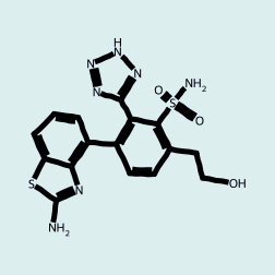 Nc1nc2c(-c3ccc(CCO)c(S(N)(=O)=O)c3-c3nn[nH]n3)cccc2s1